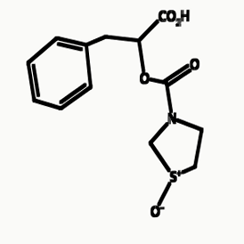 O=C(O)C(Cc1ccccc1)OC(=O)N1CC[S+]([O-])C1